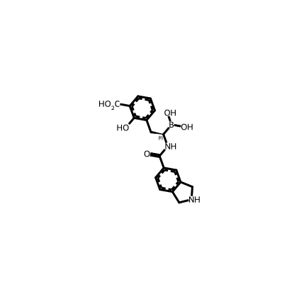 O=C(N[C@@H](Cc1cccc(C(=O)O)c1O)B(O)O)c1ccc2c(c1)CNC2